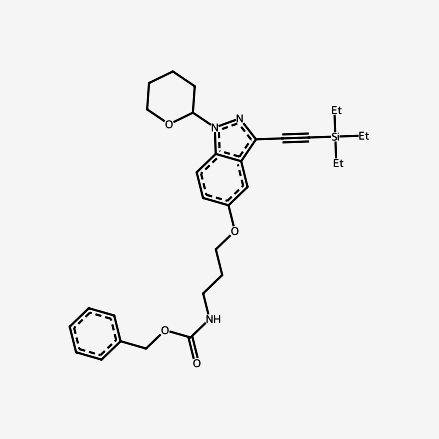 CC[Si](C#Cc1nn(C2CCCCO2)c2ccc(OCCCNC(=O)OCc3ccccc3)cc12)(CC)CC